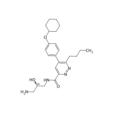 CCCCc1nnc(C(=O)NC[C@H](O)CN)cc1-c1ccc(OC2CCCCC2)cc1